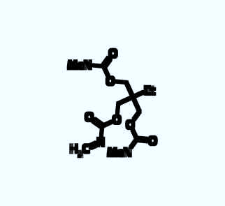 C=NC(=O)OCC(CC)(COC(=O)NC)COC(=O)NC